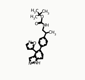 CC(CNC(=O)OC(C)(C)C)c1ccc(-c2ccc3[nH]ncc3c2-c2ccno2)cc1